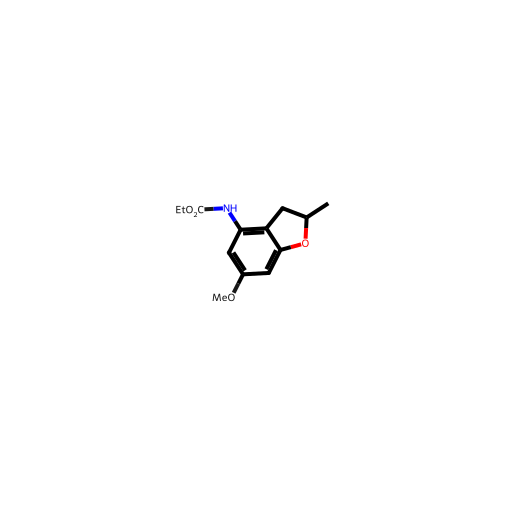 CCOC(=O)Nc1cc(OC)cc2c1CC(C)O2